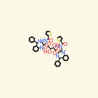 CN1c2ccccc2C(c2ccccc2)=NCC1(CNC(=O)c1cccs1)OC(=O)C(O)C(O)C(=O)OC1(CNC(=O)c2cccs2)CN=C(c2ccccc2)c2ccccc2N1C